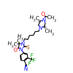 CC(=O)N1C[C@@H](C)N(CCCCCCN2C(=S)N(c3ccc(C#N)c(C(F)(F)F)c3)C(=O)C2(C)C)C[C@@H]1C